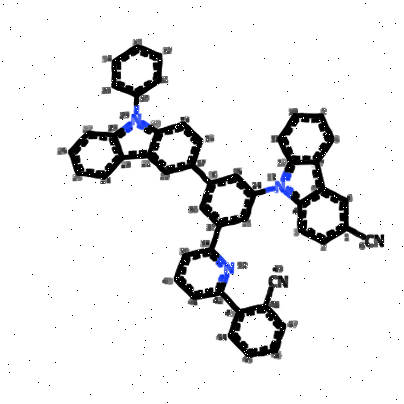 N#Cc1ccc2c(c1)c1ccccc1n2-c1cc(-c2ccc3c(c2)c2ccccc2n3-c2ccccc2)cc(-c2cccc(-c3ccccc3C#N)n2)c1